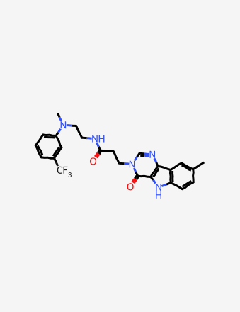 Cc1ccc2[nH]c3c(=O)n(CCC(=O)NCCN(C)c4cccc(C(F)(F)F)c4)cnc3c2c1